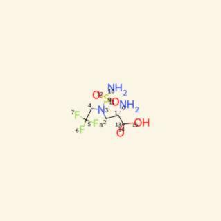 N[C@@H](CN(CC(F)(F)F)S(N)(=O)=O)C(=O)O